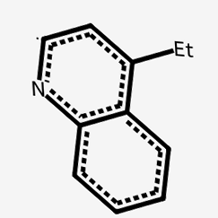 CCc1c[c]nc2ccccc12